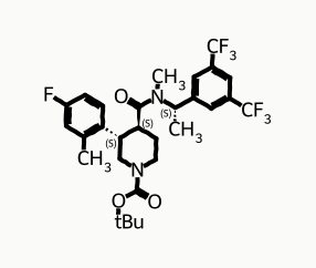 Cc1cc(F)ccc1[C@H]1CN(C(=O)OC(C)(C)C)CC[C@@H]1C(=O)N(C)[C@@H](C)c1cc(C(F)(F)F)cc(C(F)(F)F)c1